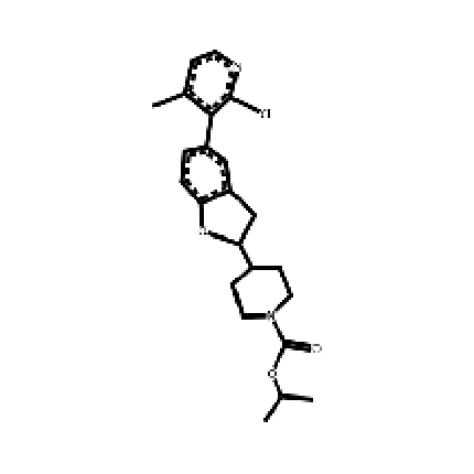 Cc1ccnc(Cl)c1-c1ccc2c(c1)CC(C1CCN(C(=O)OC(C)C)CC1)O2